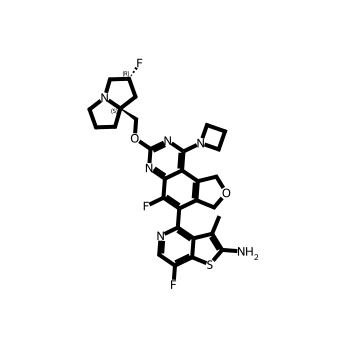 Cc1c(N)sc2c(F)cnc(-c3c4c(c5c(N6CCC6)nc(OC[C@@]67CCCN6C[C@H](F)C7)nc5c3F)COC4)c12